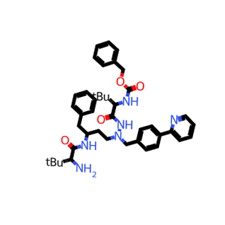 CC(C)(C)C(N)C(=O)NC(CCN(Cc1ccc(-c2ccccn2)cc1)NC(=O)C(NC(=O)OCc1ccccc1)C(C)(C)C)Cc1ccccc1